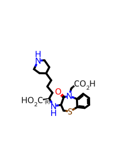 O=C(O)CN1C(=O)C(N[C@H](CCCC2CCNCC2)C(=O)O)CSc2ccccc21